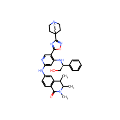 CC1c2cc(Nc3cc(N[C@H](CO)c4ccccc4)c(-c4nc(C56CCN(CC5)CC6)no4)cn3)ccc2C(=O)N(C)C1C